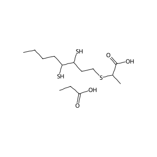 CCC(=O)O.CCCCC(S)C(S)CCSC(C)C(=O)O